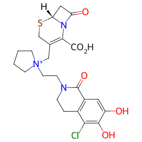 O=C(O)C1=C(C[N+]2(CCN3CCc4c(cc(O)c(O)c4Cl)C3=O)CCCC2)CS[C@@H]2CC(=O)N12